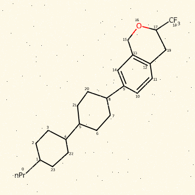 CCCC1CCC(C2CCC(c3ccc4c(c3)COC(C(F)(F)F)C4)CC2)CC1